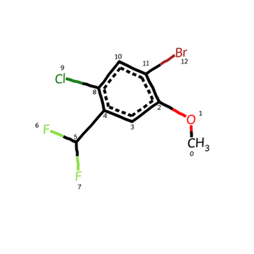 COc1cc(C(F)F)c(Cl)cc1Br